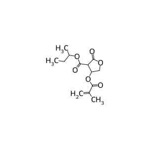 C=C(C)C(=O)OC1COC(=O)C1C(=O)OC(C)CC